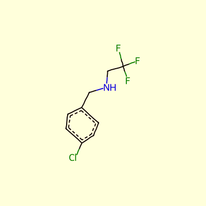 FC(F)(F)CNCc1ccc(Cl)cc1